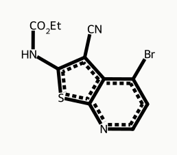 CCOC(=O)Nc1sc2nccc(Br)c2c1C#N